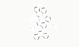 CC1=C[CH](/[Zr]([CH]2c3cc(C)ccc3-c3ccc(C)cc32)=[Si](\C)c2ccccc2)c2cccc(-c3cc4ccccc4c4ccccc34)c21